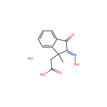 CC1(CC(=O)O)/C(=N\O)C(=O)c2ccccc21.Cl